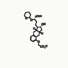 CCCCCC[C@H](CCC1[C@H](O)C[C@@H]2Cc3c(cccc3OCC(=O)O)C[C@H]12)OC1CCCCO1